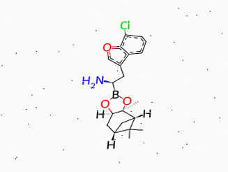 CC1(C)[C@@H]2C[C@H]3OB([C@@H](N)Cc4coc5c(Cl)cccc45)O[C@@]3(C)[C@H]1C2